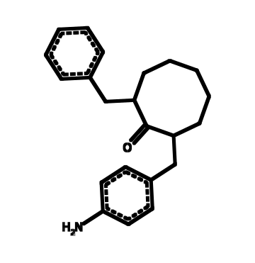 Nc1ccc(CC2CCCCCC(Cc3ccccc3)C2=O)cc1